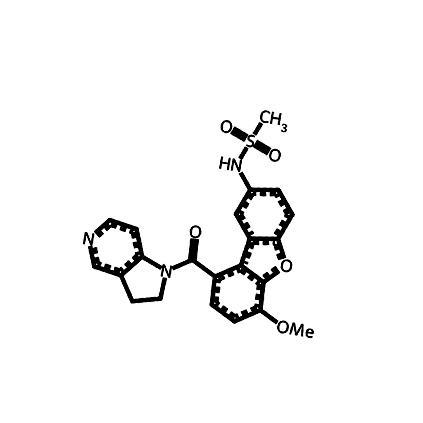 COc1ccc(C(=O)N2CCc3cnccc32)c2c1oc1ccc(NS(C)(=O)=O)cc12